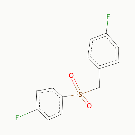 O=S(=O)(Cc1ccc(F)cc1)c1ccc(F)cc1